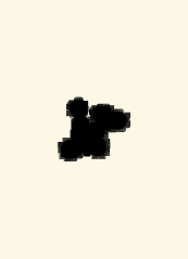 c1ccc(-c2ccc(-c3nc(-c4ccccc4)nc(-c4ccccc4)n3)c(-c3cncc(-c4cc5ccccc5c5ccccc45)c3)c2)cc1